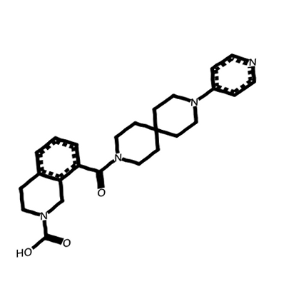 O=C(O)N1CCc2cccc(C(=O)N3CCC4(CC3)CCN(c3ccncc3)CC4)c2C1